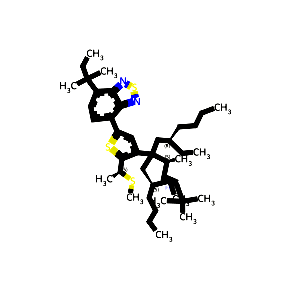 CCCC[C@@H](CC)CC(C[C@@H](CC)CCCC)(c1cc(-c2ccc(C(C)(C)CC)c3nsnc23)sc1[C@H](C)SC)[C@@H](C)/C=C/C(C)(C)C